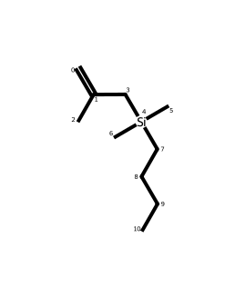 C=C(C)C[Si](C)(C)CCCC